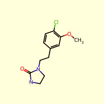 COc1cc(CCN2CC[N]C2=O)ccc1Cl